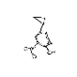 O=[N+]([O-])c1cc(C2CC2)ccc1O